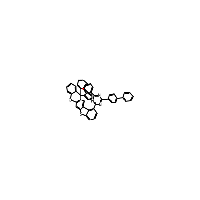 c1ccc(-c2ccc(-c3nc(-c4ccccc4)nc(-c4cccc5sc6cc7c(cc6c45)C4(c5ccccc5O7)c5ccccc5-c5ccccc54)n3)cc2)cc1